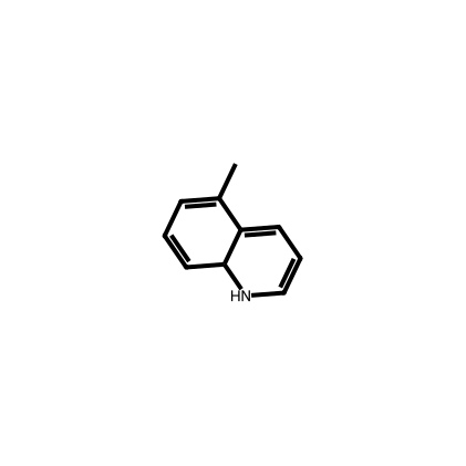 CC1=CC=CC2NC=CC=C12